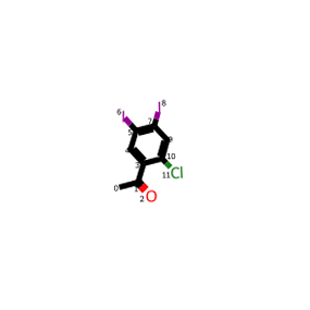 CC(=O)c1cc(I)c(I)cc1Cl